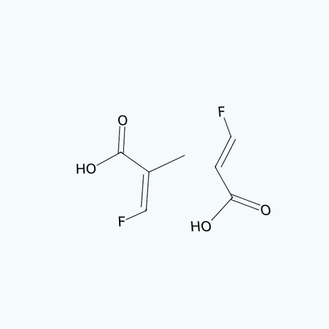 CC(=CF)C(=O)O.O=C(O)C=CF